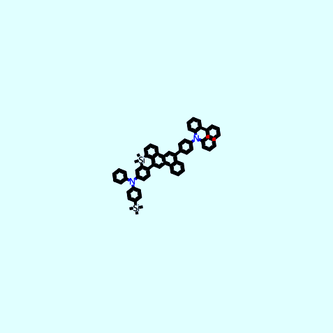 C[Si](C)(C)c1ccc(N(c2ccccc2)c2ccc3c(c2)[Si](C)(C)c2cccc4c2c-3cc2c3ccccc3c(-c3ccc(N(c5ccccc5)c5ccccc5-c5ccccc5)cc3)cc42)cc1